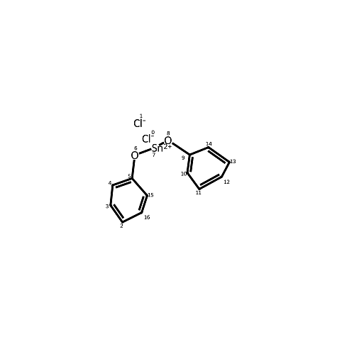 [Cl-].[Cl-].c1ccc([O][Sn+2][O]c2ccccc2)cc1